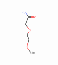 CCCCOCCOCC(N)=O